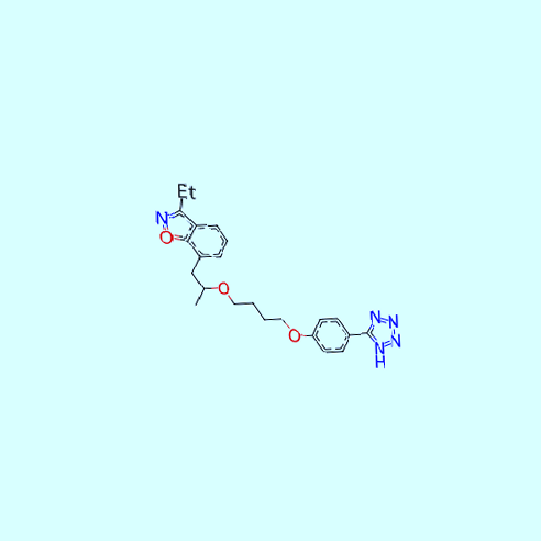 CCc1noc2c(CC(C)OCCCCOc3ccc(-c4nnn[nH]4)cc3)cccc12